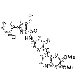 CCOc1cn(-c2cnccc2Cl)nc1C(=O)Nc1ccc(Oc2ccnc3cc(OC)c(OC)cc23)c(F)c1